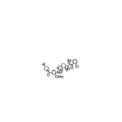 CCc1cccc(CC)c1NC(=O)c1nn(C)c2c1CCc1cnc(Nc3ccc(C(=O)N4CCC(N(C)C)CC4)cc3OC)nc1-2